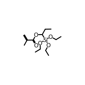 C=C(C)C(=O)OC(CC)[Si](OCC)(OCC)OCC